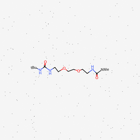 CNC(=O)NCCOCCOCCNC(=O)NC(C)(C)C